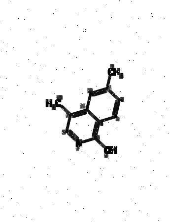 Cc1ccc2c(O)ncc(C)c2c1